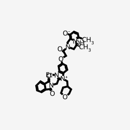 CCn1c(CN2C(=O)c3ccccc3C2=O)[n+](CC2CCOCC2)c2ccc(OCC(=O)N(Cc3nc(C)ccc3[O-])C[C@H](C)O)cc21